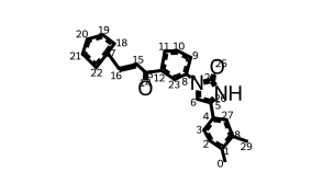 Cc1ccc(-c2cn(-c3cccc(C(=O)C=Cc4ccccc4)c3)c(=O)[nH]2)cc1C